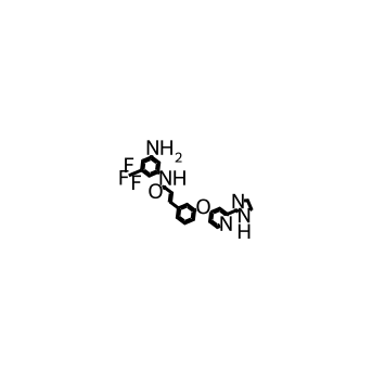 Nc1cc(NC(=O)C=Cc2cccc(Oc3ccnc(C4=NCCN4)c3)c2)cc(C(F)(F)F)c1